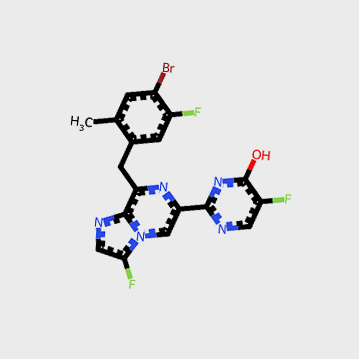 Cc1cc(Br)c(F)cc1Cc1nc(-c2ncc(F)c(O)n2)cn2c(F)cnc12